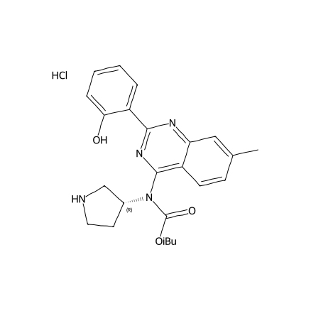 Cc1ccc2c(N(C(=O)OCC(C)C)[C@@H]3CCNC3)nc(-c3ccccc3O)nc2c1.Cl